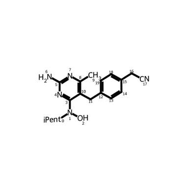 CCCC(C)N(O)c1nc(N)nc(C)c1Cc1ccc(CC#N)cc1